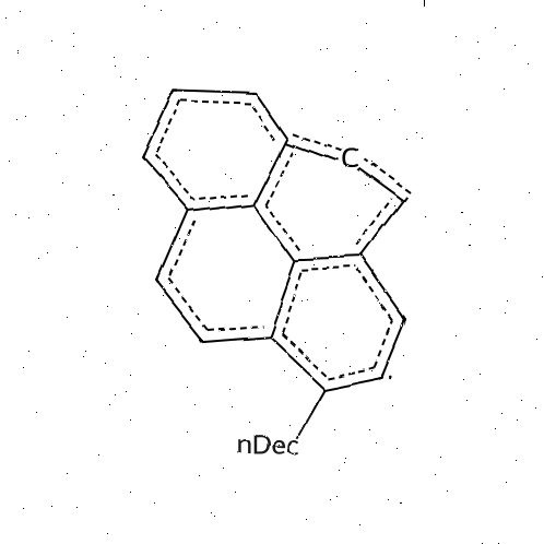 CCCCCCCCCCc1[c]cc2ccc3cccc4ccc1c2c34